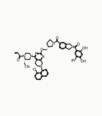 C=CC(=O)N1CCN(c2nc(OC[C@@H]3CCN(C(=O)c4ccc5c(c4)CN(C(=O)c4cc(C(C)C)c(O)cc4O)C5)C3)nc3c2CCN(c2cccc4cccc(Cl)c24)C3)C[C@@H]1CC#N